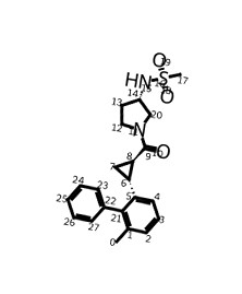 Cc1cccc([C@@H]2C[C@H]2C(=O)N2CC[C@H](NS(C)(=O)=O)C2)c1-c1ccccc1